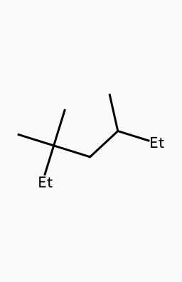 [CH2]CC(C)CC(C)(C)CC